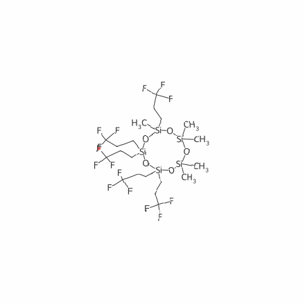 C[Si]1(C)O[Si](C)(C)O[Si](CCC(F)(F)F)(CCC(F)(F)F)O[Si](CCC(F)(F)F)(CCC(F)(F)F)O[Si](C)(CCC(F)(F)F)O1